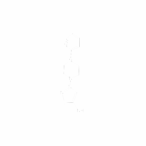 [NH-]c1c[n+](N2CCN(c3ccccn3)CC2)no1